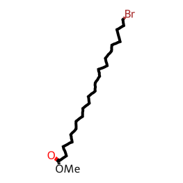 COC(=O)CCCCCCCCCCCCCCCCCCCCCCBr